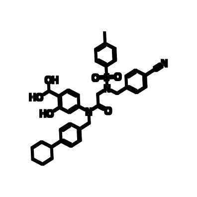 Cc1ccc(S(=O)(=O)N(CC(=O)N(Cc2ccc(C3CCCCC3)cc2)c2ccc(C(O)O)c(O)c2)Cc2ccc(C#N)cc2)cc1